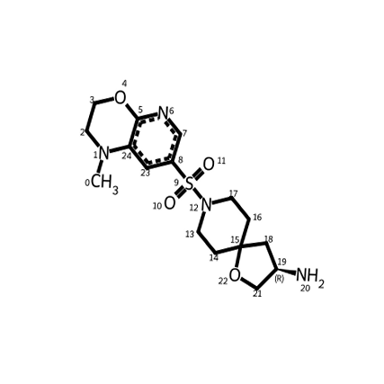 CN1CCOc2ncc(S(=O)(=O)N3CCC4(CC3)C[C@@H](N)CO4)cc21